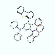 c1ccc(-c2ccccc2-c2c(-c3cccc4c3sc3ccccc34)cc(N(c3ccccc3)c3ccccc3)cc2N(c2ccccc2)c2ccccc2)cc1